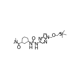 CN(C)C(=O)C1CCCC(NC(=O)Nc2cnc3c(ccn3COCC[Si](C)(C)C)n2)C1